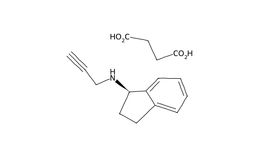 C#CCN[C@@H]1CCc2ccccc21.O=C(O)CCC(=O)O